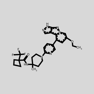 CCOc1cc(-c2ccc(N3CCC(C)(NC(=O)C4(C(F)(F)F)CCC4)CC3)nc2)c2c3cn[nH]c3nn2c1